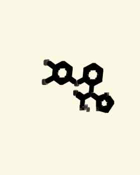 NC(=O)N(c1nccs1)c1ccccc1Oc1ccc(Cl)c(Cl)c1